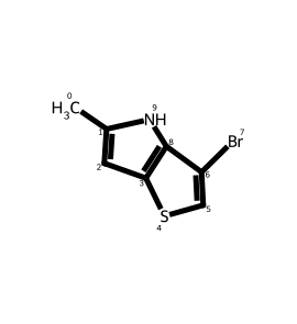 Cc1cc2scc(Br)c2[nH]1